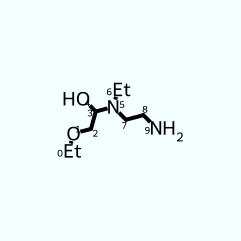 CCOCC(O)N(CC)CCN